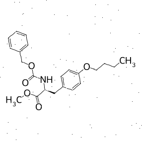 CCCCOc1ccc(C[C@H](NC(=O)OCc2ccccc2)C(=O)OC)cc1